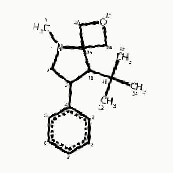 CN1CC(c2ccccc2)C(C(C)(C)C)C12COC2